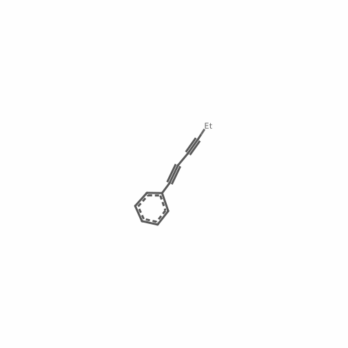 CCC#CC#Cc1ccccc1